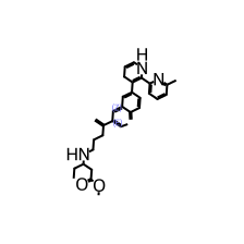 C=C(CCCNC(CC)CC(=O)OC)C(/C=c1/cc(C2=C(c3cccc(C)n3)NC=CC2)ccc1=C)=C/C